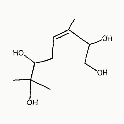 CC(=CCC(O)C(C)(C)O)C(O)CO